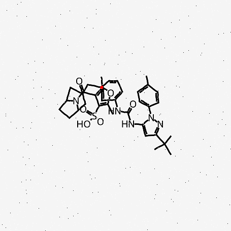 Cc1ccc(-n2nc(C(C)(C)C)cc2NC(=O)Nc2cccc(CC3CC4CCC(C3)N4C(=O)c3c(C)oc(C)c3S(=O)(=O)O)c2)cc1